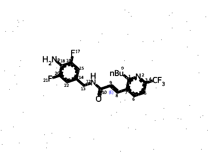 CCCCc1nc(C(F)(F)F)ccc1/C=C/C(=O)NCc1cc(F)c(N)c(F)c1